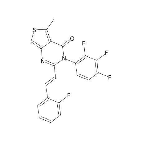 Cc1scc2nc(C=Cc3ccccc3F)n(-c3ccc(F)c(F)c3F)c(=O)c12